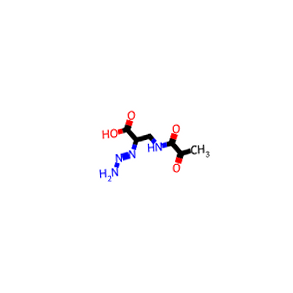 CC(=O)C(=O)NCC(N=NN)C(=O)O